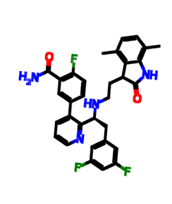 Cc1ccc(C)c2c1NC(=O)C2CCN[C@@H](Cc1cc(F)cc(F)c1)c1ncccc1-c1ccc(F)c(C(N)=O)c1